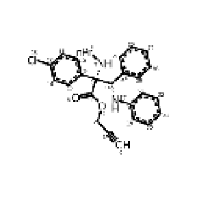 C#CCOC(=O)[C@@](NCCC)(c1ccc(Cl)cc1)[C@@H](Nc1ccccc1)c1ccccc1